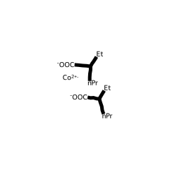 CCCC(CC)C(=O)[O-].CCCC(CC)C(=O)[O-].[Co+2]